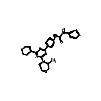 CC1COCCN1c1nc(-c2ccc(NC(=O)Nc3ccncc3)cc2)nc(C2CCOCC2)n1